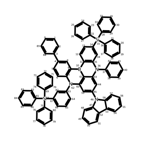 c1ccc(-c2ccc3c(c2)B2c4ccc([Si](c5ccccc5)(c5ccccc5)c5ccccc5)cc4N(c4ccccc4)c4cc(-n5c6ccccc6c6ccccc65)cc(c42)N3c2cccc([Si](c3ccccc3)(c3ccccc3)c3ccccc3)c2)cc1